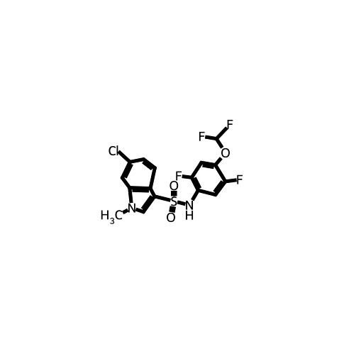 Cn1cc(S(=O)(=O)Nc2cc(F)c(OC(F)F)cc2F)c2ccc(Cl)cc21